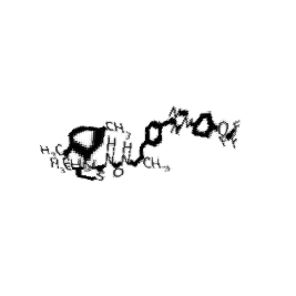 Cc1ccc(C(C)C)c(N2C(C)CCSC2NC(=O)NCC(C)Cc2ccc(-c3ncn(-c4ccc(OC(F)(F)F)cc4)n3)cc2)c1